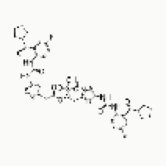 CS(=O)(=O)N(Cc1nsc(NC(=O)Nc2ccc(F)cc2C(=O)C2CCCC2)n1)OC(=O)Cc1nsc(NC(=O)Nc2ccc(F)cc2C(=O)C2CCCC2)n1